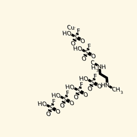 CNCCNC.O=S(=O)(O)F.O=S(=O)(O)F.O=S(=O)(O)F.O=S(=O)(O)F.O=S(=O)(O)F.O=S(=O)(O)F.[Cu]